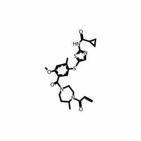 C=CC(=O)N1CCN(C(=O)c2cc(Sc3cnc(NC(=O)C4CC4)s3)c(C)cc2OC)CCC1C